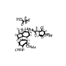 COc1ccc([C@@]23CC[C@@H](NC(=O)Nc4ccc(Br)cc4Cl)C[C@@H]2N(C)CC3)cc1OC.O=C(O)C(F)(F)F